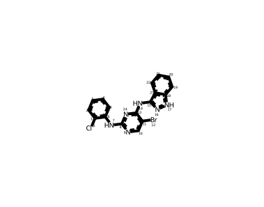 Clc1ccccc1Nc1ncc(Br)c(Nc2n[nH]c3ccccc23)n1